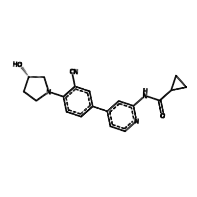 N#Cc1cc(-c2ccnc(NC(=O)C3CC3)c2)ccc1N1CC[C@H](O)C1